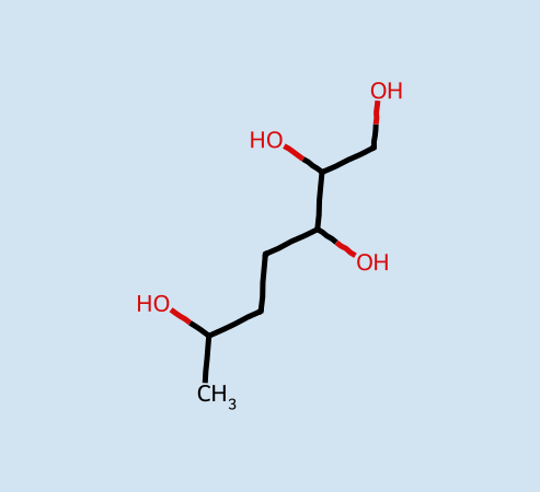 CC(O)CCC(O)C(O)CO